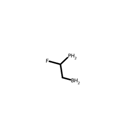 BCC(F)P